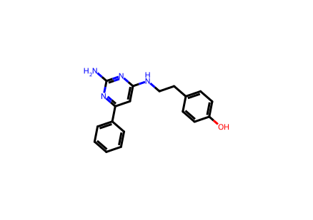 Nc1nc(NCCc2ccc(O)cc2)cc(-c2ccccc2)n1